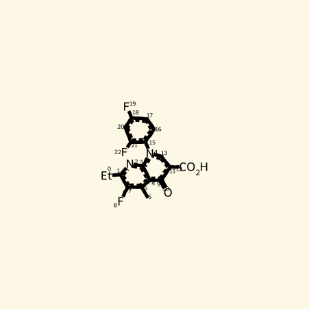 CCc1nc2c(c(C)c1F)c(=O)c(C(=O)O)cn2-c1ccc(F)cc1F